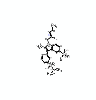 Cc1c(-c2cccc(S(=O)(=O)N(C)C)c2)c2cc(S(=O)(=O)C(C)C)ccc2n1C/C(F)=C/CN